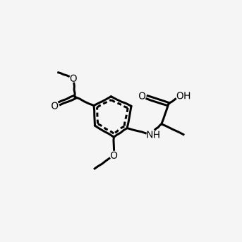 COC(=O)c1ccc(NC(C)C(=O)O)c(OC)c1